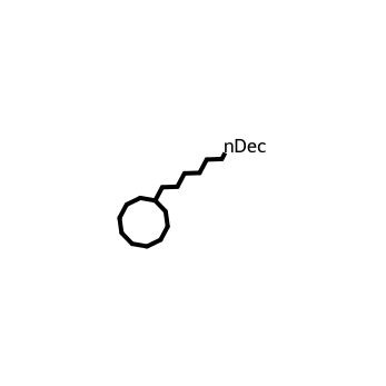 CCCCCCCCCCCCCCCCC1CCCCCCCCC1